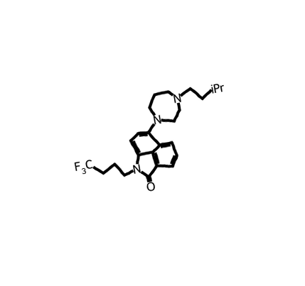 CC(C)CCN1CCCN(c2ccc3c4c(cccc24)C(=O)N3CCCC(F)(F)F)CC1